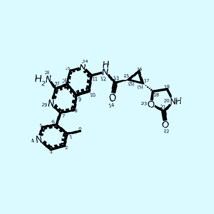 Cc1ccncc1-c1cc2cc(NC(=O)[C@H]3C[C@@H]3C3CNC(=O)O3)ncc2c(N)n1